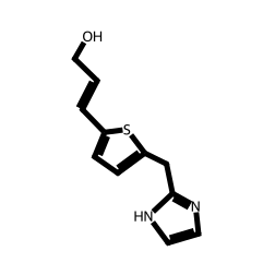 OCC=Cc1ccc(Cc2ncc[nH]2)s1